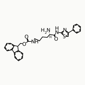 N[C@@H](CCCCNC(=O)OCC1c2ccccc2-c2ccccc21)C(=O)Nc1nc(-c2ccccc2)cs1